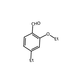 CCOc1cc(CC)ccc1C=O